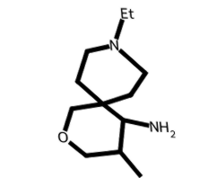 CCN1CCC2(CC1)COCC(C)C2N